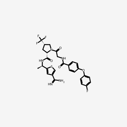 C[C@@H](NC(=O)[C@@H]1C[C@H](C(F)(F)F)CN1C(=O)CNC(=O)c1ccc(Oc2ccc(F)cc2)cc1)c1cc(C(=N)N)cs1